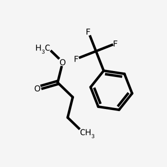 CCCC(=O)OC.FC(F)(F)c1ccccc1